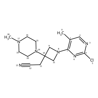 Cc1cnc(Cl)nc1N1CC(CC#N)(N2CCN(C)CC2)C1